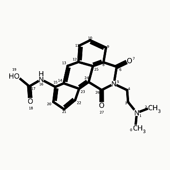 CN(C)CCN1C(=O)c2cccc3cc4c(NC(=O)O)cccc4c(c23)C1=O